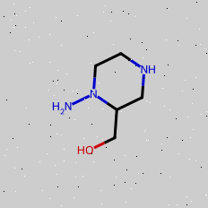 NN1CCNCC1CO